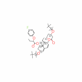 CCC(Oc1ccc(F)cc1)C(=O)O[C@H]1C[C@H](O[Si](C)(C)C(C)(C)C)C=C2C=C[C@H](C)[C@H](CC[C@@H]3C[C@@H](O[Si](C)(C)C(C)(C)C)CC(=O)O3)[C@H]21